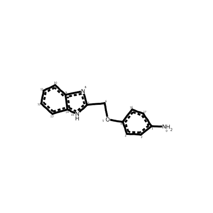 Nc1ccc(OCc2nc3ccccc3[nH]2)cc1